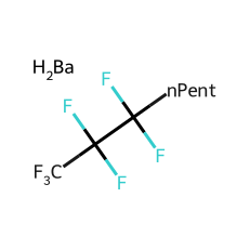 CCCCCC(F)(F)C(F)(F)C(F)(F)F.[BaH2]